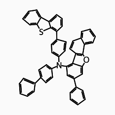 c1ccc(-c2ccc(N(c3ccc(-c4cccc5c4sc4ccccc45)cc3)c3cc(-c4ccccc4)cc4oc5c6ccccc6ccc5c34)cc2)cc1